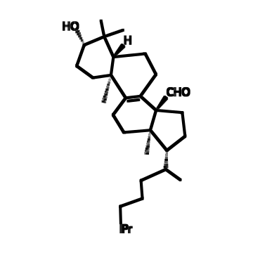 CC(C)CCCC(C)[C@H]1CC[C@@]2(C=O)C3=C(CC[C@]12C)[C@@]1(C)CC[C@H](O)C(C)(C)[C@@H]1CC3